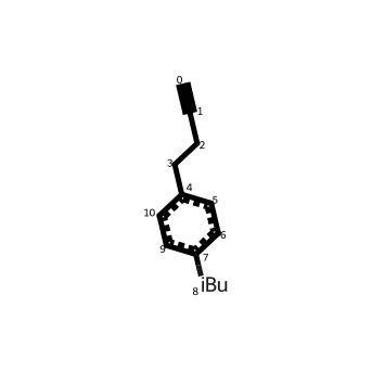 [C]#CCCc1ccc(C(C)CC)cc1